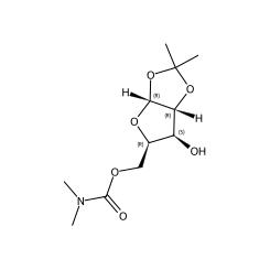 CN(C)C(=O)OC[C@H]1O[C@@H]2OC(C)(C)O[C@@H]2[C@H]1O